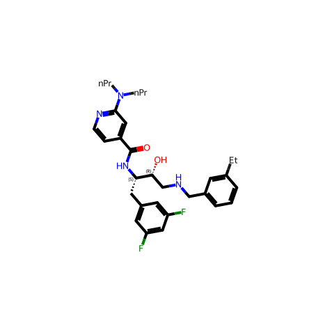 CCCN(CCC)c1cc(C(=O)N[C@@H](Cc2cc(F)cc(F)c2)[C@H](O)CNCc2cccc(CC)c2)ccn1